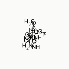 COCCOc1cc(OCCF)cc(C(Nc2ccc(C(=N)N)cc2)c2nn(-c3ncccn3)c(=O)[nH]2)c1F